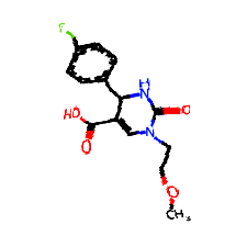 COCCN1C=C(C(=O)O)C(c2ccc(F)cc2)NC1=O